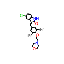 CC(C)c1cc(C=C2C(=O)Nc3ccc(Cl)cc32)cc(C(C)C)c1OCCN1CCOCC1